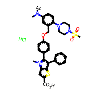 CC(=O)N(C)c1ccc(N2CCN(S(C)(=O)=O)CC2)c(COc2ccc(-c3c(-c4ccccc4)c4sc(C(=O)O)cc4n3C)cc2)c1.Cl